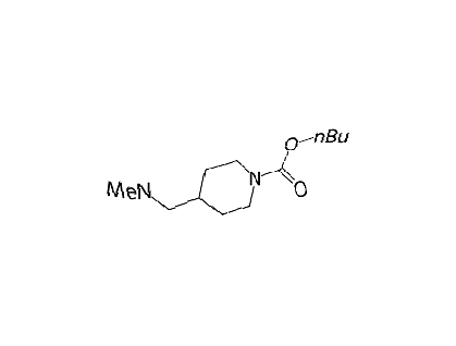 CCCCOC(=O)N1CCC(CNC)CC1